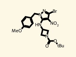 COc1ccc(Cn2nc(Br)c([N+](=O)[O-])c2NC2CN(C(=O)OC(C)(C)C)C2)cc1